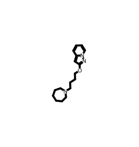 c1ccn2nc(OCCCCN3CCCCCC3)cc2c1